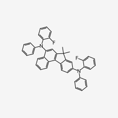 CC1(C)c2cc(N(c3ccccc3)c3ccccc3F)ccc2-c2c1cc(N(c1ccccc1)c1ccccc1F)c1ccccc21